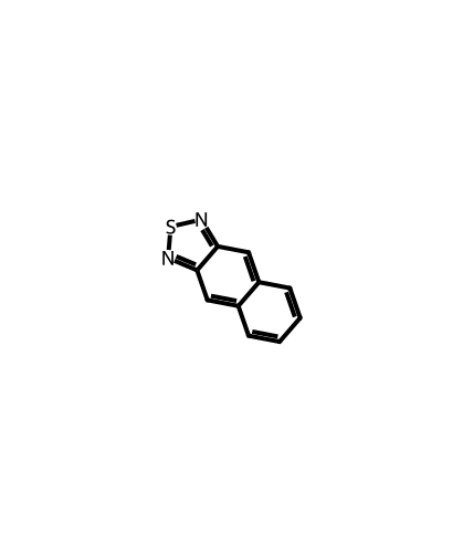 c1ccc2cc3nsnc3cc2c1